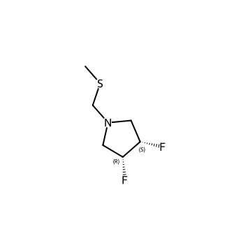 CSCN1C[C@@H](F)[C@@H](F)C1